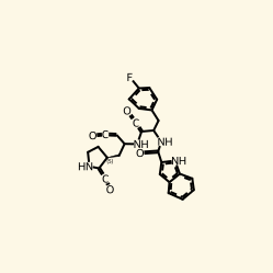 O=C=CC(C[C@@H]1CCNC1=C=O)NC(=C=O)C(Cc1ccc(F)cc1)NC(=O)c1cc2ccccc2[nH]1